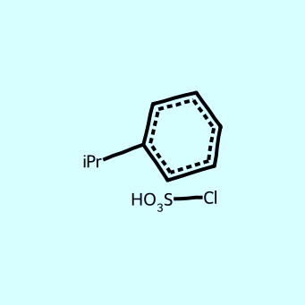 CC(C)c1ccccc1.O=S(=O)(O)Cl